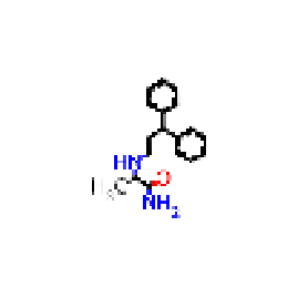 C[C@@H](NCCC(c1ccccc1)c1ccccc1)C(N)=O